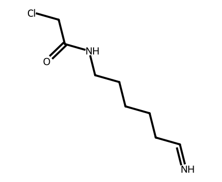 N=CCCCCCNC(=O)CCl